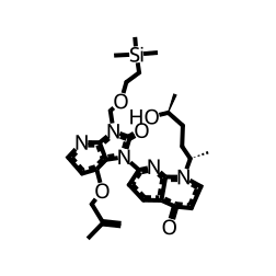 C=C(C)COc1ccnc2c1n(-c1ccc3c(=O)ccn([C@@H](C)CC[C@H](C)O)c3n1)c(=O)n2COCC[Si](C)(C)C